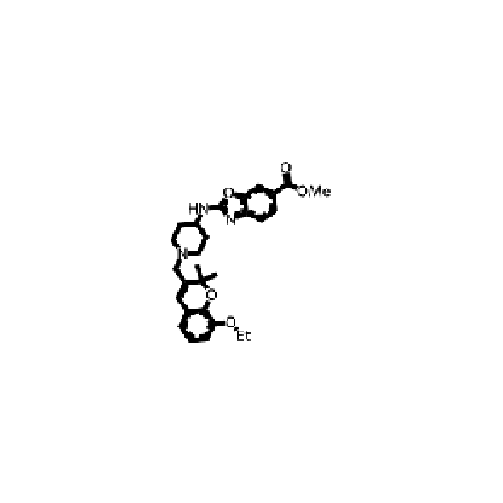 CCOc1cccc2c1OC(C)(C)C(CN1CCC(Nc3nc4ccc(C(=O)OC)cc4o3)CC1)=C2